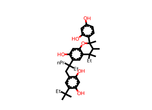 CCCC(CC)(Cc1cc(C(C)(C)CC)c(O)cc1O)c1cc2c(cc1O)OC(C)(c1ccc(O)cc1O)C(C)C2(C)CC